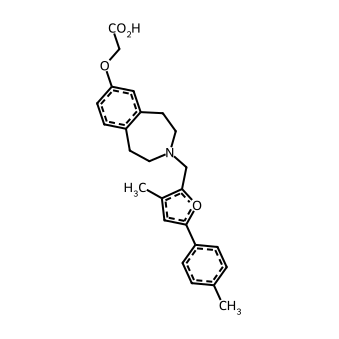 Cc1ccc(-c2cc(C)c(CN3CCc4ccc(OCC(=O)O)cc4CC3)o2)cc1